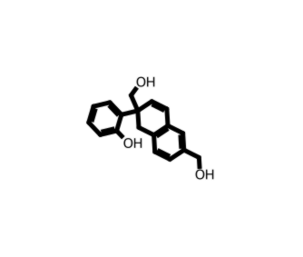 OCc1ccc2c(c1)C=CC(CO)(c1ccccc1O)C2